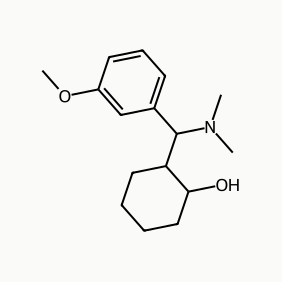 COc1cccc(C(C2CCCCC2O)N(C)C)c1